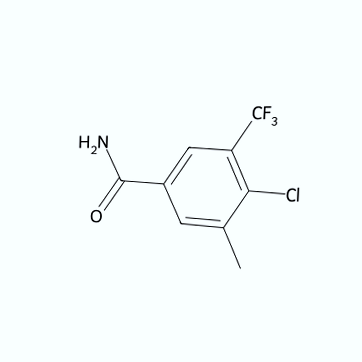 Cc1cc(C(N)=O)cc(C(F)(F)F)c1Cl